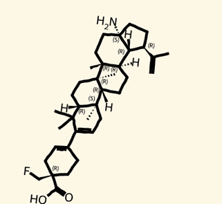 C=C(C)[C@@H]1CC[C@]2(N)CC[C@]3(C)[C@H](CC[C@@H]4[C@@]5(C)CC=C(C6=CC[C@@](CF)(C(=O)O)CC6)C(C)(C)[C@@H]5CC[C@]43C)[C@@H]12